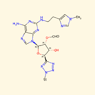 CCn1nnc([C@H]2O[C@@H](n3cnc4c(N)nc(NCCc5cn(C)cn5)nc43)[C@H](OC=O)[C@@H]2O)n1